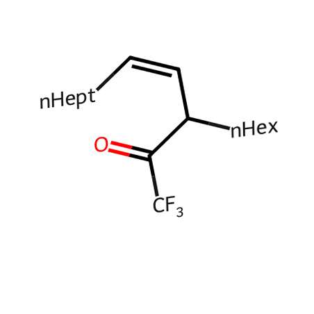 CCCCCCC/C=C\C(CCCCCC)C(=O)C(F)(F)F